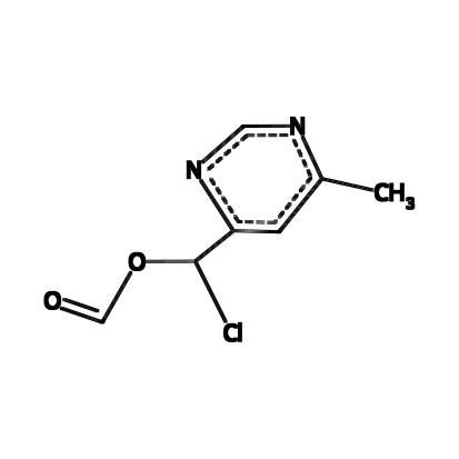 Cc1cc(C(Cl)OC=O)ncn1